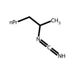 CCCCC(C)N=C=N